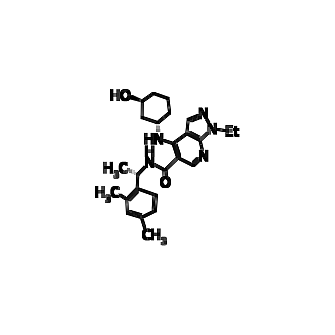 CCn1ncc2c(N[C@H]3CCC[C@H](O)C3)c(C(=O)N[C@@H](C)c3ccc(C)cc3C)cnc21